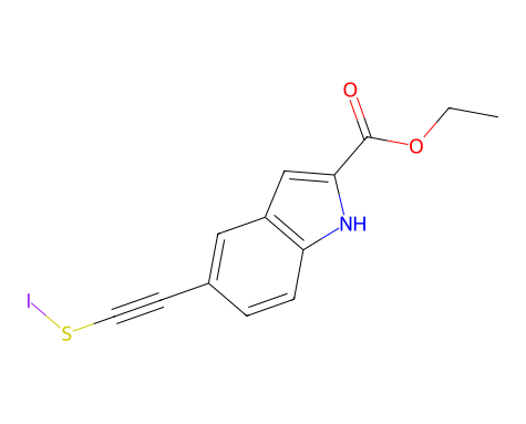 CCOC(=O)c1cc2cc(C#CSI)ccc2[nH]1